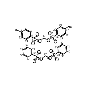 Cc1ccc(S(=O)(=O)OCOS(=O)(=O)c2ccc(C)cc2)cc1.O=S(=O)(OCOS(=O)(=O)c1ccccc1)c1ccccc1